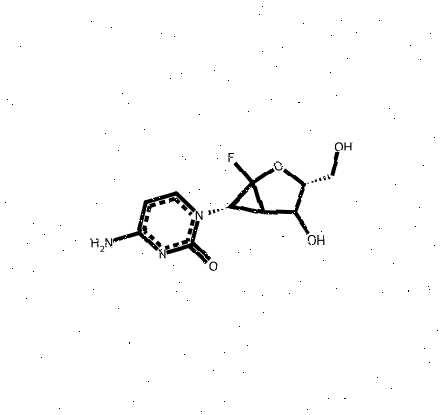 Nc1ccn([C@H]2C3C(O)[C@@H](CO)OC32F)c(=O)n1